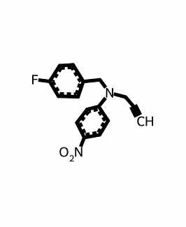 C#CCN(Cc1ccc(F)cc1)c1ccc([N+](=O)[O-])cc1